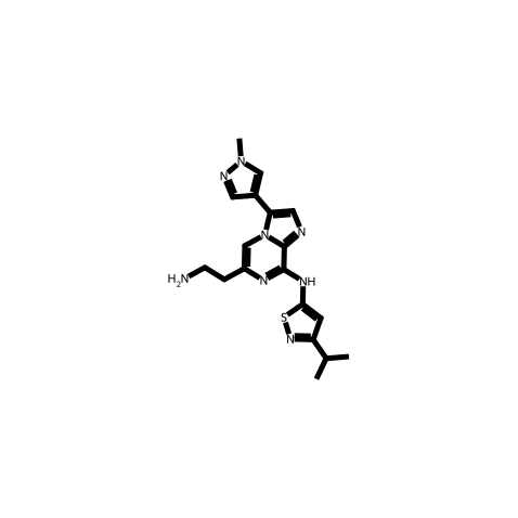 CC(C)c1cc(Nc2nc(CCN)cn3c(-c4cnn(C)c4)cnc23)sn1